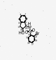 O=S(=O)(N[C@@H]1c2ccccc2C[C@@H]1O)c1ccccc1Br